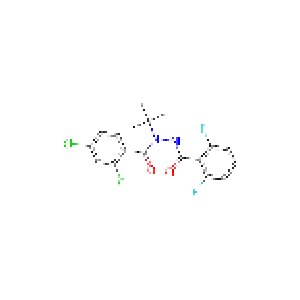 CC(C)(C)N(NC(=O)c1c(F)cccc1F)C(=O)c1ccc(Cl)cc1Cl